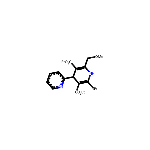 CCOC(=O)C1=C(COC)NC(C(C)C)=C(C(=O)OCC)C1c1ccccn1